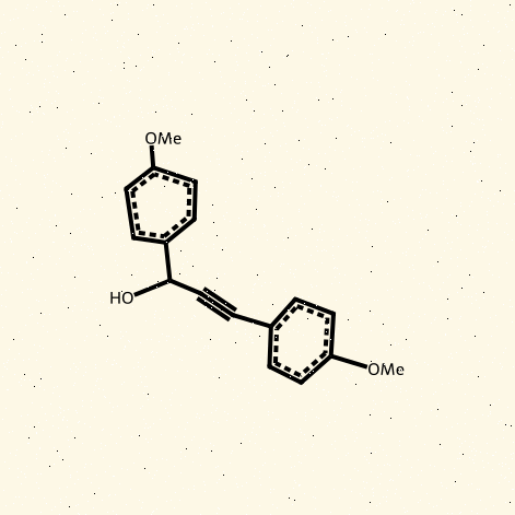 COc1ccc(C#CC(O)c2ccc(OC)cc2)cc1